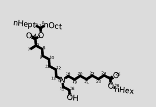 CCCCCCCCC(CCCCCCC)OC(=O)C(C)CCCCCCN(CCO)CCCCCCCC(=O)OCCCCCC